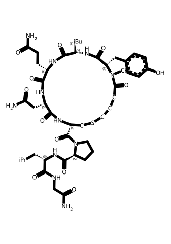 CC[C@H](C)[C@@H]1NC(=O)[C@H](Cc2ccc(O)cc2)N(C)C(=O)CCCSC[C@H](C(=O)N2CCC[C@H]2C(=O)N[C@@H](CC(C)C)C(=O)NCC(N)=O)NC(=O)[C@H](CC(N)=O)NC(=O)[C@H](CCC(N)=O)NC1=O